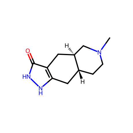 CN1CC[C@@H]2Cc3[nH][nH]c(=O)c3C[C@H]2C1